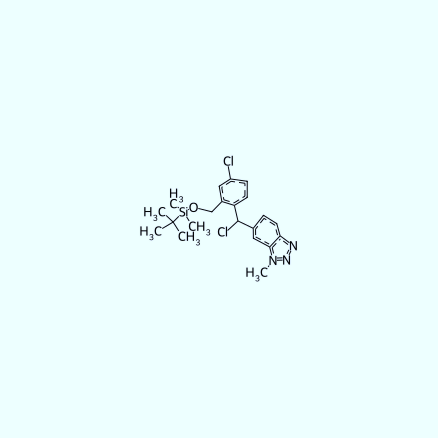 Cn1nnc2ccc(C(Cl)c3ccc(Cl)cc3CO[Si](C)(C)C(C)(C)C)cc21